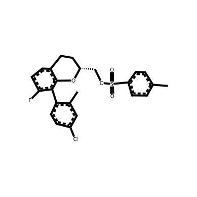 Cc1ccc(S(=O)(=O)OC[C@H]2CCc3ccc(F)c(-c4ccc(Cl)cc4C)c3O2)cc1